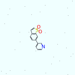 O=S1(=O)C=Cc2ccc(-c3cccnc3)cc21